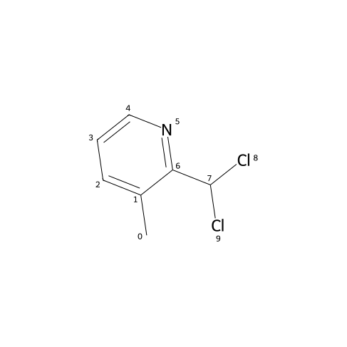 Cc1cccnc1C(Cl)Cl